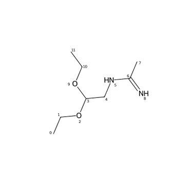 CCOC(CNC(C)=N)OCC